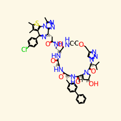 Cc1sc2c(c1C)C(c1ccc(Cl)cc1)=N[C@@H](CC(=O)NC[C@H]1NC(=O)[C@@H](C)NC(=O)[C@@H](Cc3ccc(-c4ccccc4)cc3)NC(=O)[C@@H]3C[C@@H](O)CN3C(=O)[C@H](C(C)C)n3cc(nn3)COCCNC1=O)c1nnc(C)n1-2